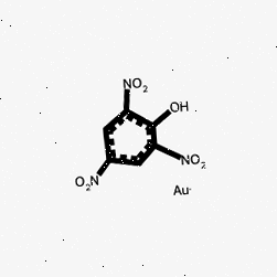 O=[N+]([O-])c1cc([N+](=O)[O-])c(O)c([N+](=O)[O-])c1.[Au]